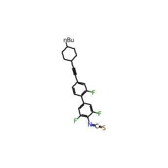 CCCCC1CCC(C#Cc2ccc(-c3cc(F)c(N=C=S)c(F)c3)c(F)c2)CC1